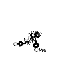 CNC(=O)c1c(NC(=O)CCc2ccc(Cl)cc2)nn(Cc2ccc(OC)cc2)c1-c1ccncc1